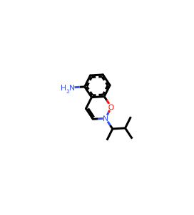 CC(C)C(C)N1C=Cc2c(N)cccc2O1